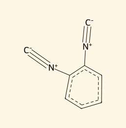 [C-]#[N+]c1ccccc1[N+]#[C-]